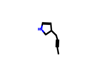 CC#CCC1C=CNC1